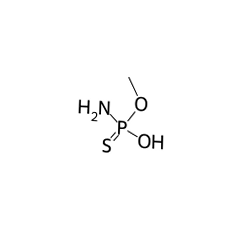 COP(N)(O)=S